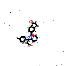 Cc1ccc(C2(NC(=O)c3ccc4c(c3)CCC4=O)CCOc3cccnc32)cc1